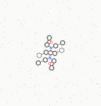 c1ccc(-c2ccc(N(c3c4ccc(C5CCCCC5)cc4c(N(c4ccc(-c5ccccc5)cc4)c4cccc5c4oc4ccccc45)c4ccc(C5CCCCC5)cc34)c3cccc4c3oc3ccccc34)cc2)cc1